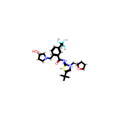 CC(C)(C)c1cn(C[C@H]2CCCO2)/c(=N/C(=O)c2cc(C(F)(F)F)ccc2CN2CC[C@@H](O)C2)s1